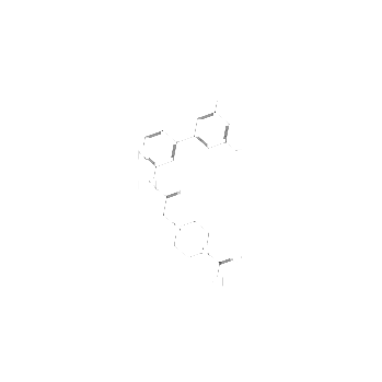 CC(=O)N1CCN(CC(=O)Nc2cc(-c3cc(F)cc(F)c3)ccn2)CC1